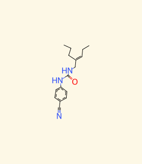 CC/C=C(\CCC)CNC(=O)Nc1ccc(C#N)cc1